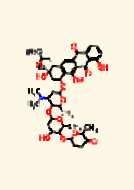 CC[C@@]1(O)C[C@H](OC2CC(N(C)C)C(OC3CC(O)C(OC4CCC(=O)C(C)O4)C(C)O3)C(C)O2)c2c(cc3c(c2O)C(=O)c2c(O)cccc2C3=O)[C@H]1CC(=O)OC